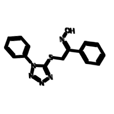 ON=C(CSc1nnnn1-c1ccccc1)c1ccccc1